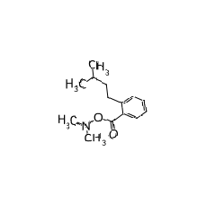 CC(C)CCc1ccccc1C(=O)ON(C)C